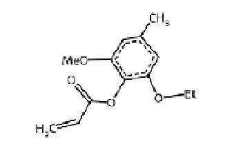 C=CC(=O)Oc1c(OC)cc(C)cc1OCC